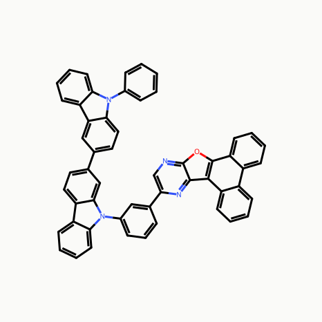 c1ccc(-n2c3ccccc3c3cc(-c4ccc5c6ccccc6n(-c6cccc(-c7cnc8oc9c%10ccccc%10c%10ccccc%10c9c8n7)c6)c5c4)ccc32)cc1